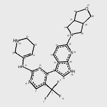 FC(F)(F)c1cnc(NC2=CCCNC2)nc1-c1c[nH]c2nc(N3CC4COCC4C3)ccc12